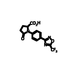 O=C(O)C1CCC(=O)N1c1ccc(-c2noc(C(F)(F)F)n2)cc1